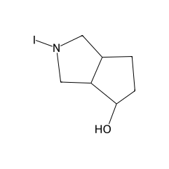 OC1CCC2CN(I)CC12